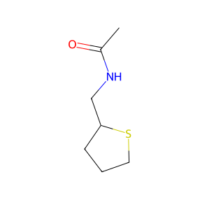 CC(=O)NCC1CCCS1